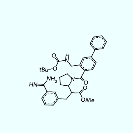 COC(=O)C(Cc1cccc(C(=N)N)c1)C1CCCN1C(=O)c1ccc(-c2ccccc2)cc1CNC(=O)OC(C)(C)C